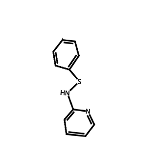 [c]1ccc(SNc2ccccn2)cc1